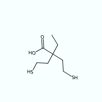 CCC(CCS)(CCS)C(=O)O